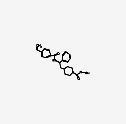 C=Cc1ccc(C(=O)NC(CC2CCN(C(=O)OC(C)(C)C)CC2)c2ccccc2)cc1